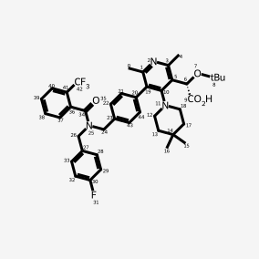 Cc1nc(C)c([C@H](OC(C)(C)C)C(=O)O)c(N2CCC(C)(C)CC2)c1-c1ccc(CN(Cc2ccc(F)cc2)C(=O)c2ccccc2C(F)(F)F)cc1